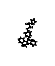 Nc1ncccc1-c1nc2cccnc2n1-c1ccc(CNC(=O)c2cccs2)cc1